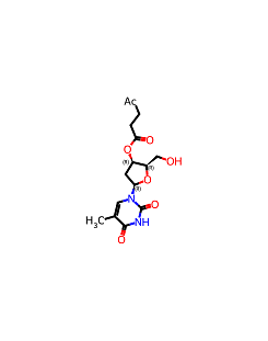 CC(=O)CCC(=O)O[C@@H]1C[C@H](n2cc(C)c(=O)[nH]c2=O)O[C@@H]1CO